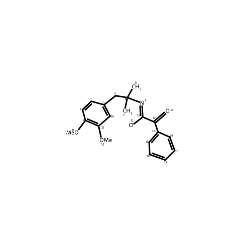 COc1ccc(CC(C)(C)N=C(Cl)C(=O)c2ccccc2)cc1OC